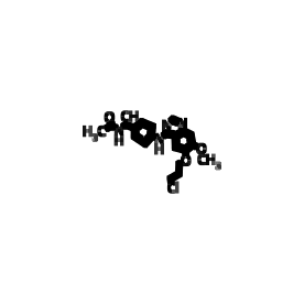 COc1cc2ncnc(Nc3ccc([C@@H](C)NC(C)=O)cc3)c2cc1OCCCCl